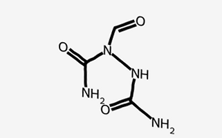 NC(=O)NN(C=O)C(N)=O